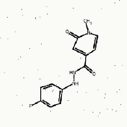 Cn1ccc(C(=O)NNc2ccc(F)cc2)cc1=O